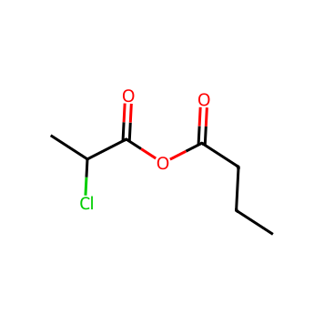 CCCC(=O)OC(=O)C(C)Cl